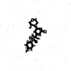 C[C@H]1COCCN1c1cc(C(C)(C)S(=O)(=O)c2ccc(F)cc2)nc(Cl)n1